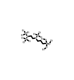 CCO[Si](CCCN(CCN([Si](CC)(CC)CC)[Si](CC)(CC)CC)[Si](CC)(CC)CC)(OCC)OCC